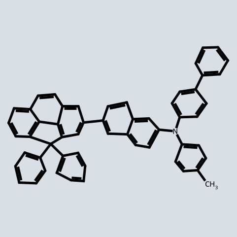 Cc1ccc(N(c2ccc(-c3ccccc3)cc2)c2ccc3cc(-c4cc5c6c(ccc7cccc(c76)C5(c5ccccc5)c5ccccc5)c4)ccc3c2)cc1